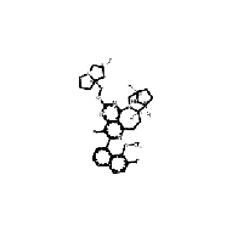 Fc1ccc2cccc(-c3nc4c5c(nc(OC[C@@]67CCCN6C[C@H](F)C7)nc5c3F)N3C[C@H]5CC[C@H](N5)[C@H]3CC4)c2c1OC(F)(F)F